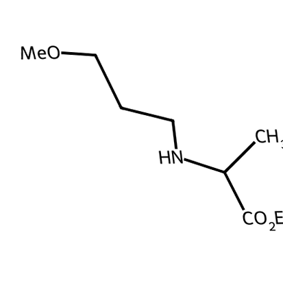 CCOC(=O)C(C)NCCCOC